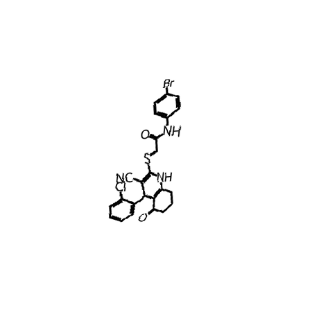 N#CC1=C(SCC(=O)Nc2ccc(Br)cc2)NC2=C(C(=O)CCC2)C1c1ccccc1Cl